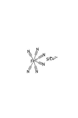 N#[C][Fe-4]([C]#N)([C]#N)([C]#N)([C]#N)[C]#N.[Cu+2].[Si+4]